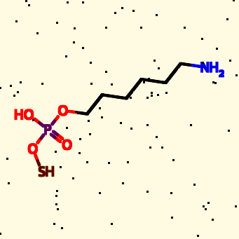 NCCCCCCOP(=O)(O)OS